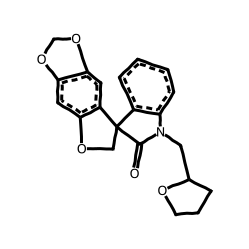 O=C1N(CC2CCCO2)c2ccccc2C12COc1cc3c(cc12)OCO3